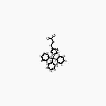 [O]C(=O)CCc1cn(C(c2ccccc2)(c2ccccc2)c2ccccc2)cn1